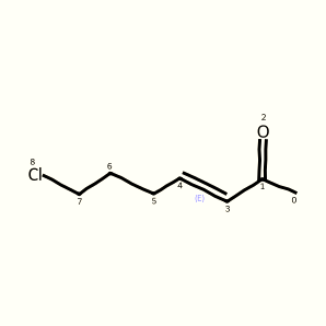 CC(=O)/C=C/CCCCl